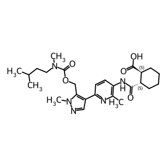 Cc1nc(-c2cnn(C)c2COC(=O)N(C)CCC(C)C)ccc1NC(=O)[C@H]1CCCC[C@@H]1C(=O)O